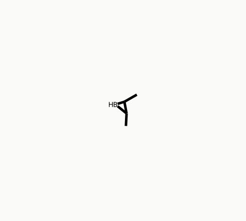 CC1BC1C